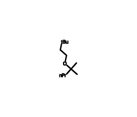 CCCC(C)(C)OCCC(C)(C)C